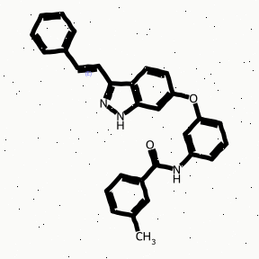 Cc1cccc(C(=O)Nc2cccc(Oc3ccc4c(/C=C/c5ccccc5)n[nH]c4c3)c2)c1